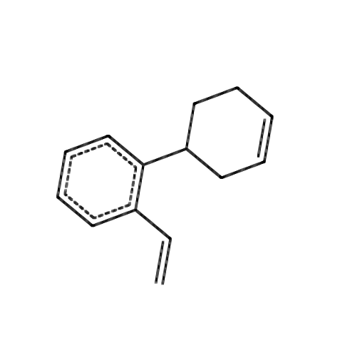 C=Cc1ccccc1C1CC=CCC1